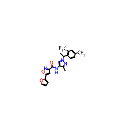 Cc1nn(C(C)c2ccc(C(F)(F)F)cc2C(F)(F)F)cc1NC(=O)c1cc(-c2ccco2)on1